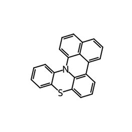 c1ccc2c(c1)sc1cccc3c1-n2c1cccc2cccc3c21